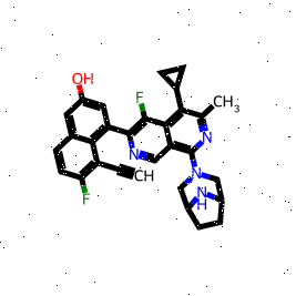 C#Cc1c(F)ccc2cc(O)cc(-c3ncc4c(N5CC6CCC(C5)N6)nc(C)c(C5CC5)c4c3F)c12